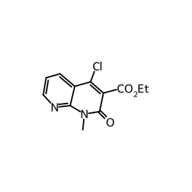 CCOC(=O)c1c(Cl)c2cccnc2n(C)c1=O